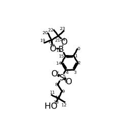 Cc1ccc(S(=O)(=O)CCC(C)(C)O)cc1B1OC(C)(C)C(C)(C)O1